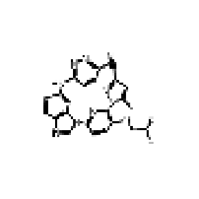 Cc1ccc(Nc2ccc3ncn(-c4ccc(OCC(F)F)c(-n5nc(C#N)cc5C)n4)c3c2)nn1